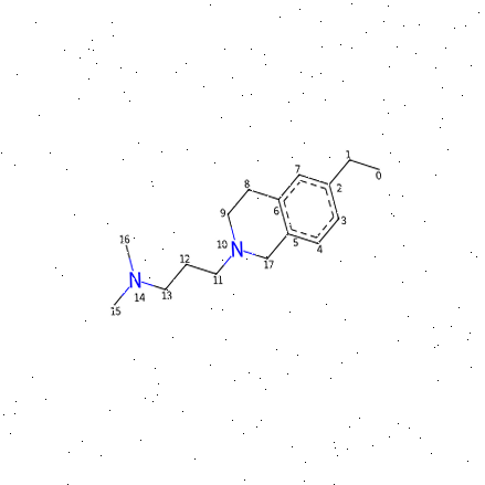 CCc1ccc2c(c1)CCN(CCCN(C)C)C2